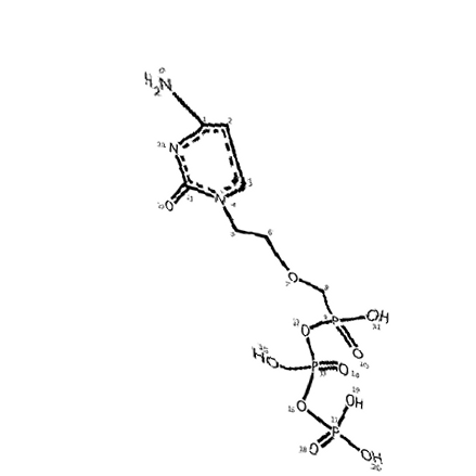 Nc1ccn(CCOCP(=O)(O)OP(=O)(O)OP(=O)(O)O)c(=O)n1